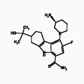 CC(C)(O)C1CCc2c([nH]c3c(C(N)=O)cc(F)c(N4CCC[C@H](N)C4)c23)C1